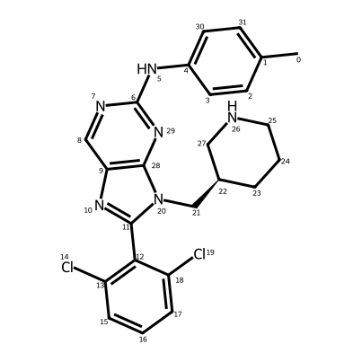 Cc1ccc(Nc2ncc3nc(-c4c(Cl)cccc4Cl)n(C[C@@H]4CCCNC4)c3n2)cc1